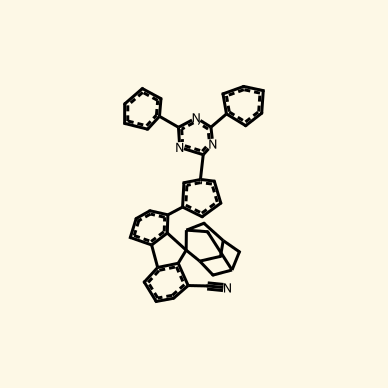 N#Cc1cccc2c1C1(c3c(-c4cccc(-c5nc(-c6ccccc6)nc(-c6ccccc6)n5)c4)cccc3-2)C2CC3CC(C2)CC1C3